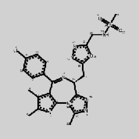 Cc1sc2c(c1C)C(c1ccc(Cl)cc1)=N[C@@H](Cc1nnc(CNS(C)(=O)=O)o1)c1nnc(C)n1-2